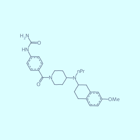 CCCN(C1CCN(C(=O)c2ccc(NC(N)=O)cc2)CC1)C1CCc2ccc(OC)cc2C1